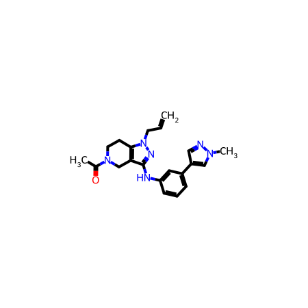 C=CCn1nc(Nc2cccc(-c3cnn(C)c3)c2)c2c1CCN(C(C)=O)C2